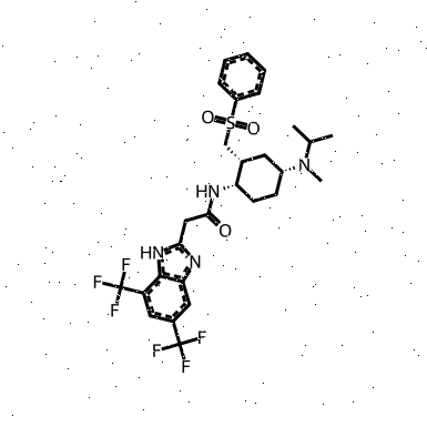 CC(C)N(C)[C@@H]1CC[C@H](NC(=O)Cc2nc3cc(C(F)(F)F)cc(C(F)(F)F)c3[nH]2)[C@H](CS(=O)(=O)c2ccccc2)C1